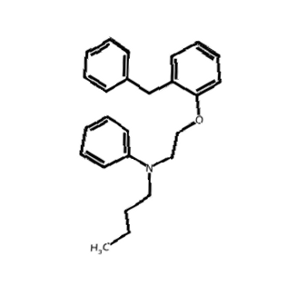 CCCCN(CCOc1ccccc1Cc1ccccc1)c1ccccc1